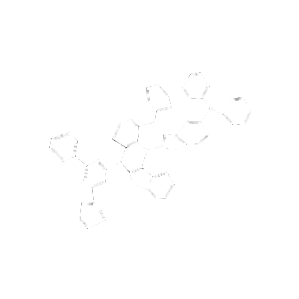 c1ccc(-c2cc(-c3ccccc3)cc(N3c4cccc5c4B(c4oc6ccc(N(c7ccccc7)c7ccccc7)cc6c4N5c4ccccc4)c4c3oc3ccccc43)c2)cc1